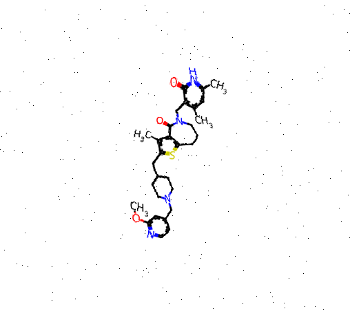 COc1cc(CN2CCC(Cc3sc4c(c3C)C(=O)N(Cc3c(C)cc(C)[nH]c3=O)CCC4)CC2)ccn1